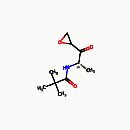 C[C@H](NC(=O)C(C)(C)C)C(=O)C1CO1